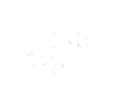 Cc1cnc(-c2cc(OC3CCN(C(=O)OC(C)(C)C)CC3F)cc(C(=O)O)c2)s1